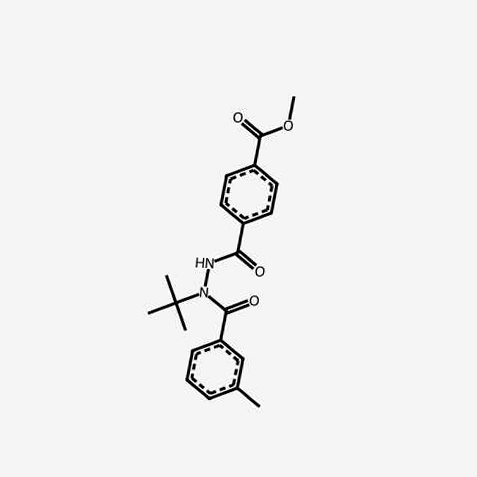 COC(=O)c1ccc(C(=O)NN(C(=O)c2cccc(C)c2)C(C)(C)C)cc1